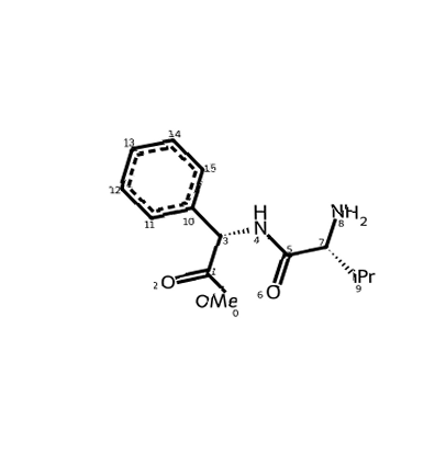 COC(=O)[C@@H](NC(=O)[C@H](N)C(C)C)c1ccccc1